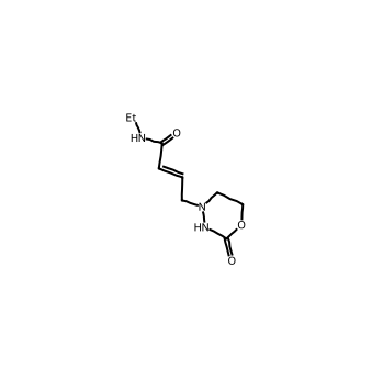 CCNC(=O)/C=C/CN1CCOC(=O)N1